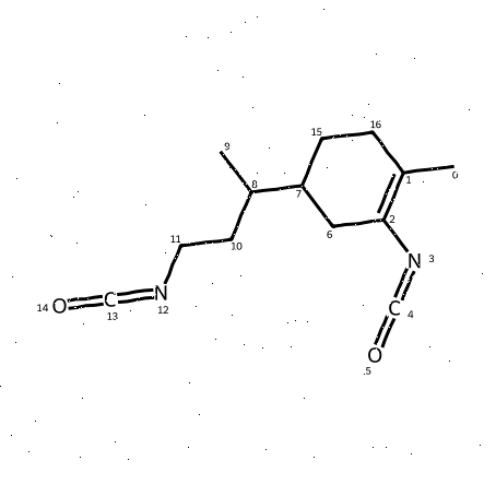 CC1=C(N=C=O)CC(C(C)CCN=C=O)CC1